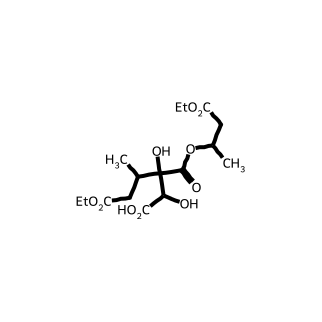 CCOC(=O)CC(C)OC(=O)C(O)(C(C)CC(=O)OCC)C(O)C(=O)O